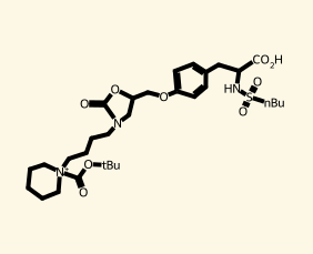 CCCCS(=O)(=O)NC(Cc1ccc(OCC2CN(CCCC[N+]3(C(=O)OC(C)(C)C)CCCCC3)C(=O)O2)cc1)C(=O)O